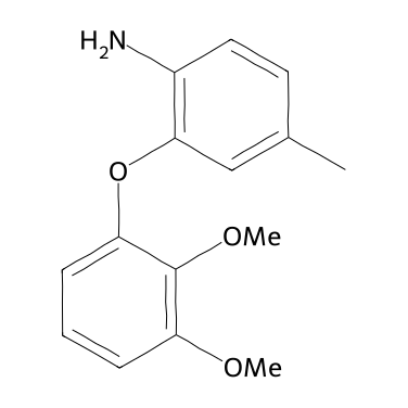 COc1cccc(Oc2cc(C)ccc2N)c1OC